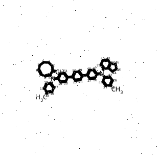 C=C1CCCC/C=C\C=C/1N(c1ccc(C)cc1)c1ccc(-c2ccc(-c3ccc(N(c4ccc(C)cc4)c4cccc5c4CCC5)cc3)cc2)cc1